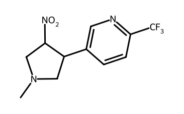 CN1CC(c2ccc(C(F)(F)F)nc2)C([N+](=O)[O-])C1